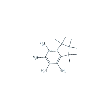 Bc1c(B)c(B)c2c(c1B)C(C)(C)C(C)(C)C2(C)C